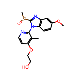 COc1ccc2c(c1)nc([S+](C)[O-])n2-c1nccc(OCCO)c1C